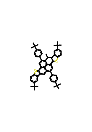 CC1c2c(-c3ccc(C(C)(C)C)cc3)cc3c4sc5ccc(C(C)(C)C)cc5c4cc4c(-c5ccc(C(C)(C)C)cc5)cc(c2c43)=C2Sc3ccc(C(C)(C)C)cc3C21